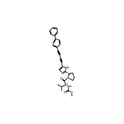 COC(=O)N[C@@H](C(=O)N1CCC[C@@H]1c1ncc(C#CC#Cc2ccc(-c3ccccc3)cc2)[nH]1)C(C)C